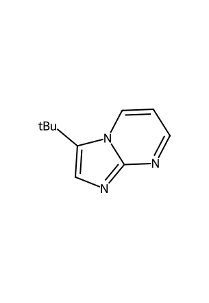 CC(C)(C)c1cnc2ncccn12